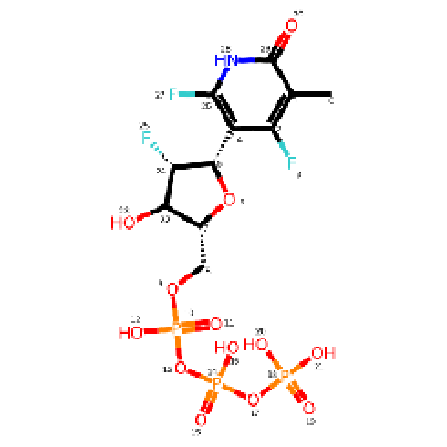 Cc1c(F)c([C@@H]2O[C@H](COP(=O)(O)OP(=O)(O)OP(=O)(O)O)C(O)[C@@H]2F)c(F)[nH]c1=O